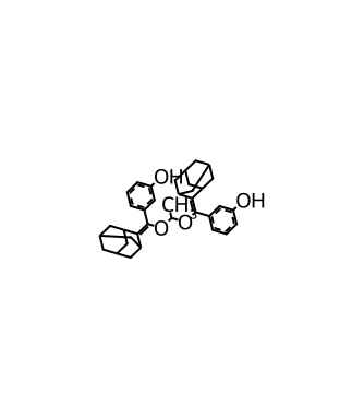 CC(OC(=C1C2CC3CC(C2)CC1C3)c1cccc(O)c1)OC(=C1C2CC3CC(C2)CC1C3)c1cccc(O)c1